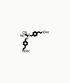 CCCCCCCCCCCCc1ccc(CSC(SCc2ccc(CCCCCCCCCCCC)cc2)=C(C#N)C#N)cc1